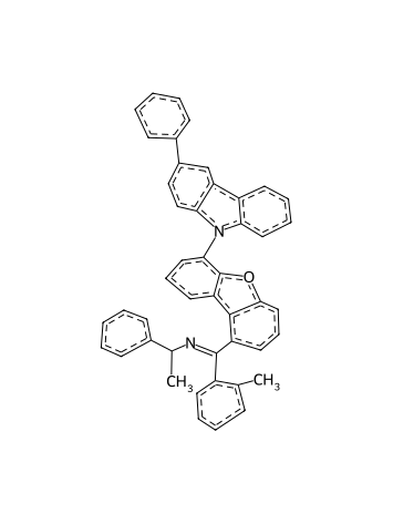 Cc1ccccc1/C(=N\C(C)c1ccccc1)c1cccc2oc3c(-n4c5ccccc5c5cc(-c6ccccc6)ccc54)cccc3c12